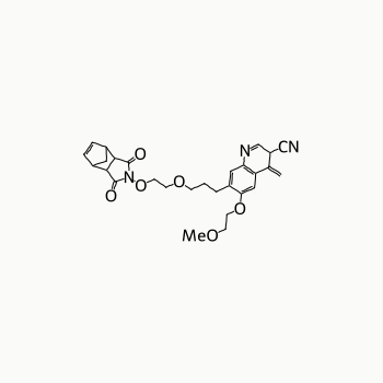 C=C1c2cc(OCCOC)c(CCCOCCON3C(=O)C4C5C=CC(C5)C4C3=O)cc2N=CC1C#N